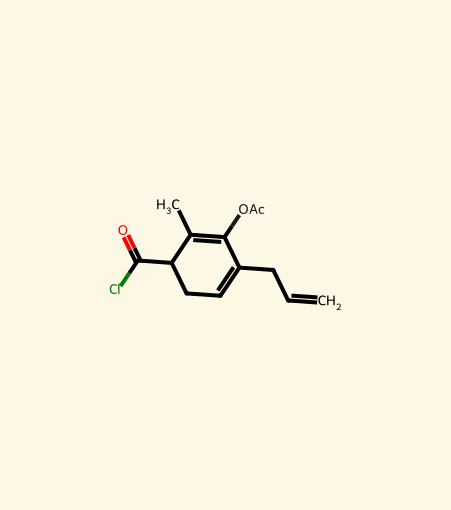 C=CCC1=CCC(C(=O)Cl)C(C)=C1OC(C)=O